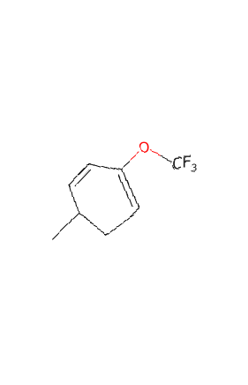 CC1C=CC(OC(F)(F)F)=CC1